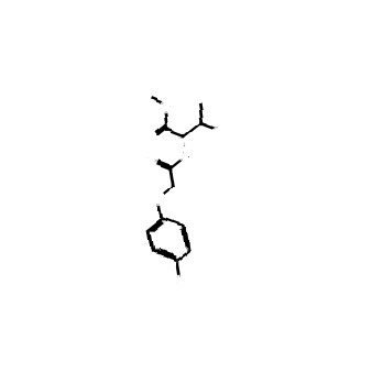 COC(=O)[C@@H](NC(=O)COc1ccc(Cl)cc1)C(C)O